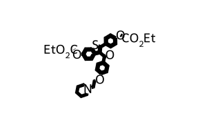 CCOC(=O)Oc1ccc(-c2sc3cc(OC(=O)OCC)ccc3c2C(=O)c2ccc(OCCN3CCCCC3)cc2)cc1